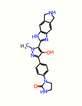 Cn1nc(-c2ccc(N3CCNC3=O)cc2)c(O)c1-c1nc2cc3c(cc2[nH]1)CNC3